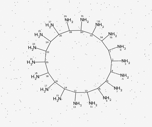 NC1C(N)C(N)C(N)C(N)C(N)C(N)C(N)C(N)C(N)C(N)C(N)C(N)C(N)C(N)C(N)C(N)C1N